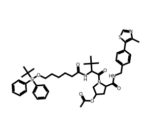 CC(=O)OC1CC(C(=O)NCc2ccc(-c3scnc3C)cc2)N(C(=O)C(NC(=O)CCCCCO[Si](c2ccccc2)(c2ccccc2)C(C)(C)C)C(C)(C)C)C1